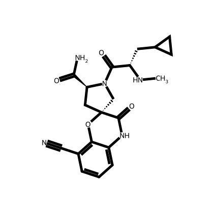 CN[C@@H](CC1CC1)C(=O)N1C[C@@]2(C[C@H]1C(N)=O)Oc1c(C#N)cccc1NC2=O